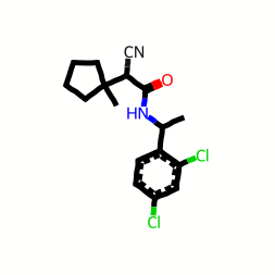 CC(NC(=O)C(C#N)C1(C)CCCC1)c1ccc(Cl)cc1Cl